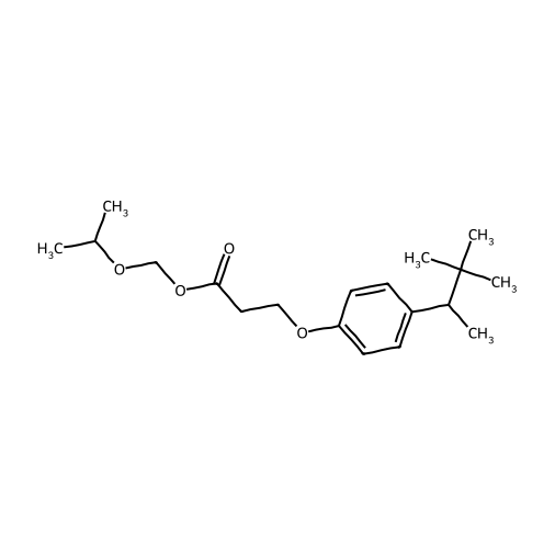 CC(C)OCOC(=O)CCOc1ccc(C(C)C(C)(C)C)cc1